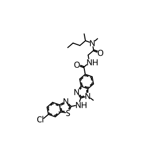 CCCC(C)N(C)C(=O)CNC(=O)c1ccc2c(c1)nc(Nc1nc3ccc(Cl)cc3s1)n2C